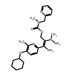 Cc1nc(/C(N)=C(\COC(=O)N(C)Cc2ccccn2)N(C)N)ccc1OC1CCCCC1